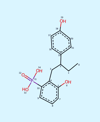 CCC(Cc1c(O)cccc1P(=O)(O)O)c1ccc(O)cc1